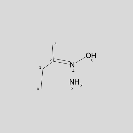 CCC(C)=NO.N